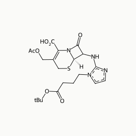 CC(=O)OCC1=C(C(=O)O)N2C(=O)C(Nc3nccn3CCCC(=O)OC(C)(C)C)[C@H]2SC1